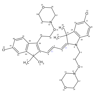 CC1(C)C(/C=C/C=C2/N(CCON3CCOCC3)c3ccc(Cl)cc3C2(C)C)=C(CCON2CCOCC2)c2ccc(Cl)cc21